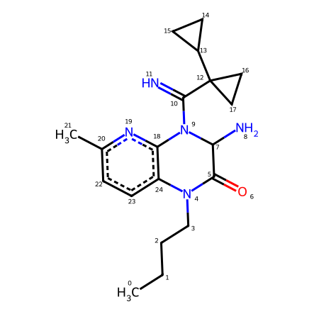 CCCCN1C(=O)C(N)N(C(=N)C2(C3CC3)CC2)c2nc(C)ccc21